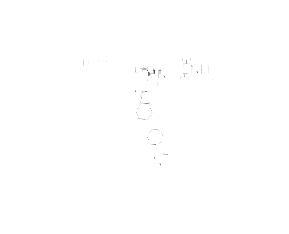 CCCCCCCCCCCCCCC(C(=O)NCCS(N)(=O)=O)(c1nc2cc(C)c(-c3ccc(C(=O)N4CC(C)(O)C4)cc3)cc2s1)S(C)(=O)=O